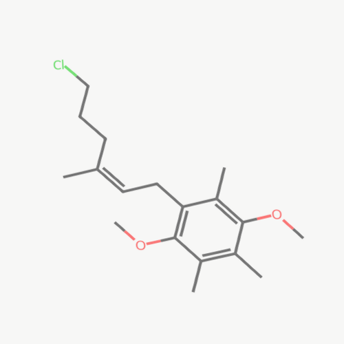 COc1c(C)c(C)c(OC)c(CC=C(C)CCCCl)c1C